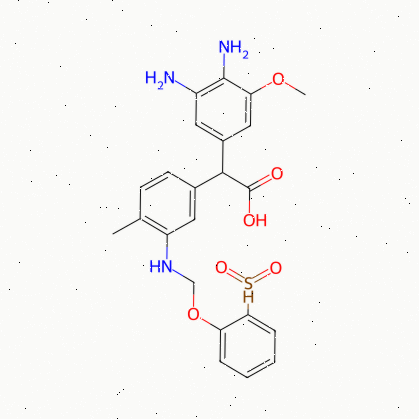 COc1cc(C(C(=O)O)c2ccc(C)c(NCOc3ccccc3[SH](=O)=O)c2)cc(N)c1N